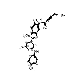 COCC#CC(=O)Nc1cc2nc(N3C[C@H](F)C[C@@H](Nc4ncc(C(F)(F)F)cn4)C3)n(C)c2cc1C